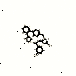 CCc1nn(Cc2ccc(-c3ccccc3-c3nnn[nH]3)cc2)c(=NC(=O)c2cccc(Cl)c2)s1